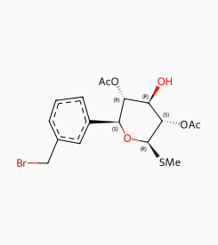 CS[C@H]1O[C@@H](c2cccc(CBr)c2)[C@H](OC(C)=O)[C@@H](O)[C@@H]1OC(C)=O